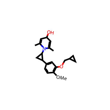 COc1ccc(C2CC2N2C(C)=CC(O)C=C2C)cc1OCC1CC1